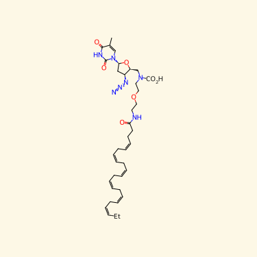 CC/C=C\C/C=C\C/C=C\C/C=C\C/C=C\C/C=C\CCC(=O)NCCOCCN(C[C@@H]1O[C@H](n2cc(C)c(=O)[nH]c2=O)C[C@@H]1N=[N+]=[N-])C(=O)O